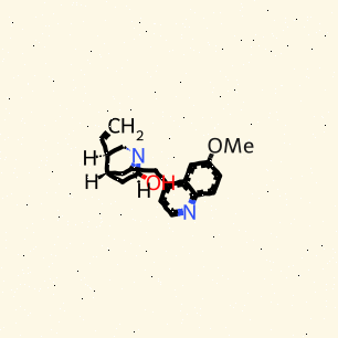 C=C[C@H]1C[N@]2C(O)C[C@H]1C[C@@H]2Cc1ccnc2ccc(OC)cc12